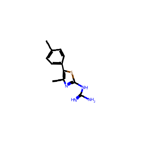 Cc1ccc(-c2sc(NC(=N)N)nc2C)cc1